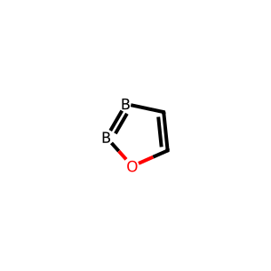 b1bocc1